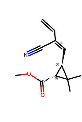 C=C/C(C#N)=C/[C@@H]1[C@@H](C(=O)OC)C1(C)C